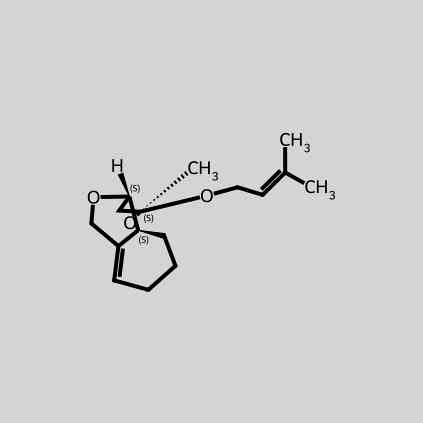 CC(C)=CCO[C@]1(C)C[C@@H]2OCC3=CCCC[C@]32O1